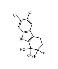 OC1(C(F)(F)F)c2[nH]c3cc(Cl)c(Cl)cc3c2CCC1(F)F